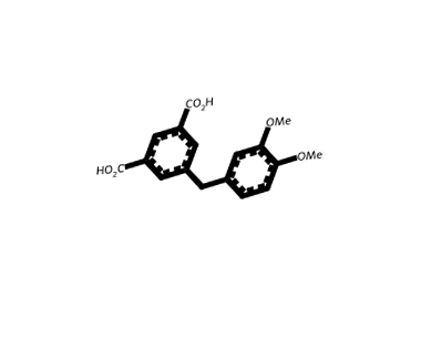 COc1ccc(Cc2cc(C(=O)O)cc(C(=O)O)c2)cc1OC